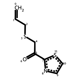 C=CCSCC(=O)c1nccs1